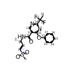 C[C@@H](/C=C/S(C)(=O)=O)NC(=O)c1cnc(C(C)(F)F)nc1Oc1ccccc1